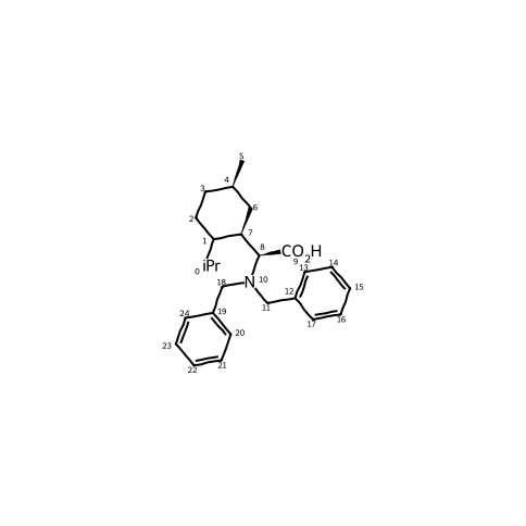 CC(C)C1CC[C@@H](C)C[C@H]1[C@@H](C(=O)O)N(Cc1ccccc1)Cc1ccccc1